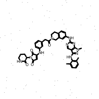 Cc1cccc(C)c1Nc1nn(C)c2nc(Nc3ccc4c(c3)CN(C(=O)Cc3cccc(NC5=CC(=O)N(C6CCCNC6=O)C5=O)c3)CC4)ncc12